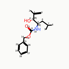 C=C(C)[C@@H](O)[C@@H](CC(C)C)NC(=O)OCc1ccccc1